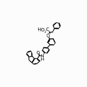 O=C(Nc1ccc(-c2cccc(O[C@H](Cc3ccccc3)C(=O)O)c2)cc1)c1cccc2c1-c1ccccc1C2